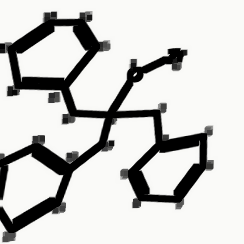 [Zr][O]C(Cc1ccccc1)(Cc1ccccc1)Cc1ccccc1